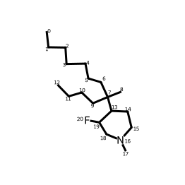 CCCCCCCC(C)(CCCC)C1CCN(C)CC1F